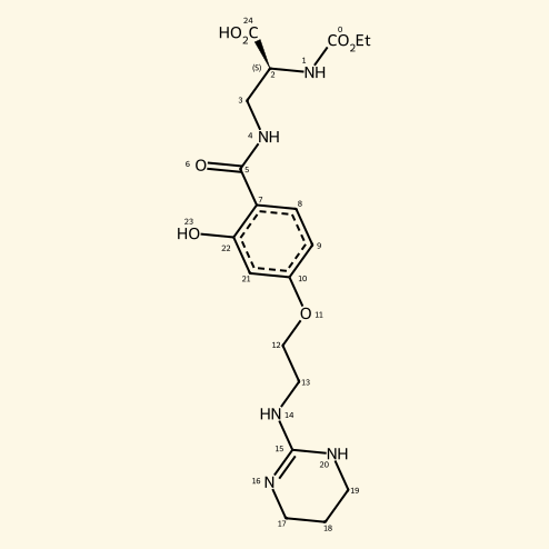 CCOC(=O)N[C@@H](CNC(=O)c1ccc(OCCNC2=NCCCN2)cc1O)C(=O)O